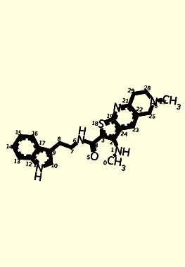 CNc1c(C(=O)NCCc2c[nH]c3ccccc23)sc2nc3c(cc12)CN(C)CC3